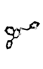 c1ccc(C2CNC(NCc3ccco3)=Nc3ccccc32)cc1